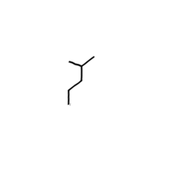 [CH]CCC(C)C